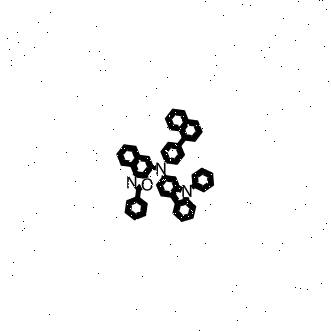 c1ccc(-c2nc3c(o2)c(N(c2ccc(-c4cccc5ccccc45)cc2)c2ccc4c5ccccc5n(-c5ccccc5)c4c2)cc2ccccc23)cc1